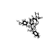 CNC(=O)CN1C[C@@H](c2ccc(OC)cc2)[C@H](NC(=O)Nc2ccc(F)cc2)C1=O